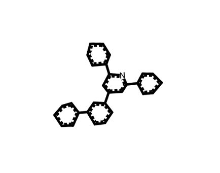 c1ccc(-c2cccc(-c3cc(-c4ccccc4)nc(-c4ccccc4)c3)c2)cc1